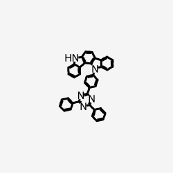 c1ccc(-c2nc(-c3ccccc3)nc(-c3ccc(-n4c5ccccc5c5ccc6[nH]c7ccccc7c6c54)cc3)n2)cc1